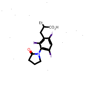 CCC(Cc1c(I)cc(I)c(N2CCCC2=O)c1I)C(=O)O